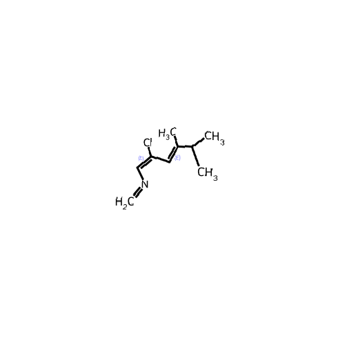 C=N/C=C(Cl)\C=C(/C)C(C)C